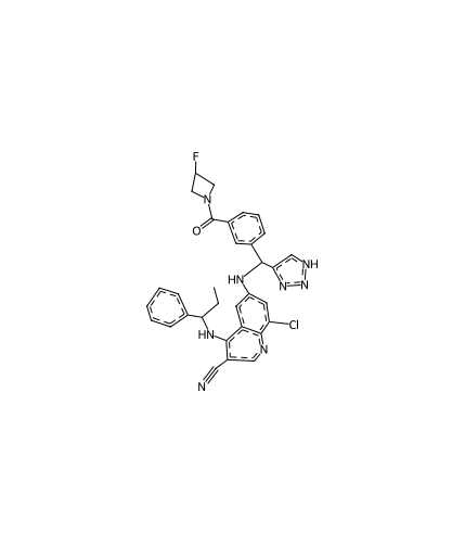 CCC(Nc1c(C#N)cnc2c(Cl)cc(NC(c3cccc(C(=O)N4CC(F)C4)c3)c3c[nH]nn3)cc12)c1ccccc1